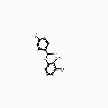 Cc1ccc(C(=O)Nc2cccc(Br)c2C)cc1